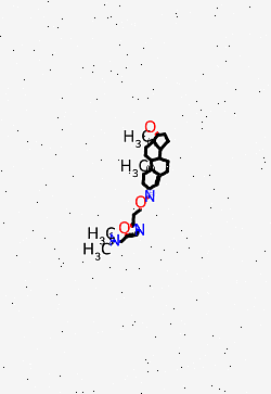 CN(C)Cc1cnc(CCO/N=C2/C=C3CCC4C(CC[C@]5(C)C(=O)CCC45)[C@@]3(C)CC2)o1